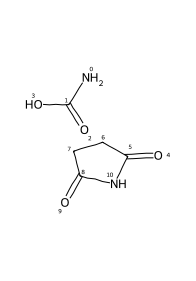 NC(=O)O.O=C1CCC(=O)N1